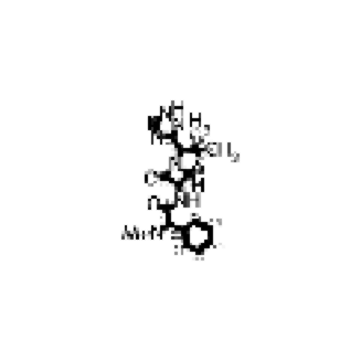 CNC(C(=O)NC1C(=O)N2C(c3nnn[nH]3)C(C)(C)S[C@@H]12)c1ccccc1